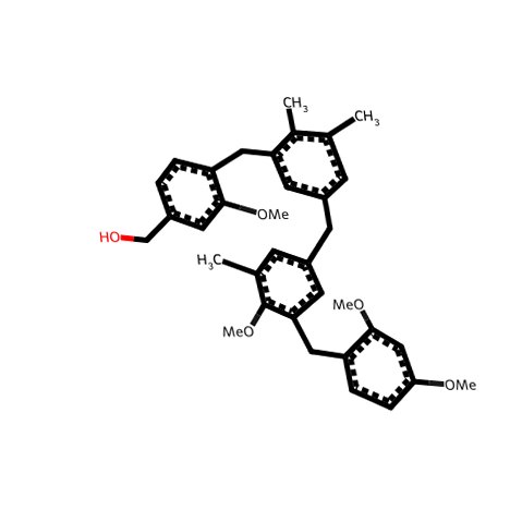 COc1ccc(Cc2cc(Cc3cc(C)c(C)c(Cc4ccc(CO)cc4OC)c3)cc(C)c2OC)c(OC)c1